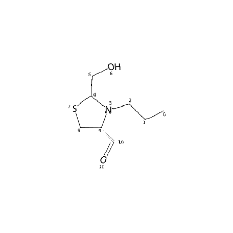 CCCN1C(CO)SC[C@H]1C=O